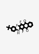 CC(C)(C)c1ccc(Nc2c(F)c(F)c3c(c2F)C(=O)c2ccccc2C3=O)cc1